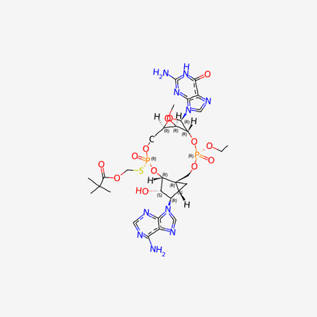 CCO[P@]1(=O)OC[C@@]23C[C@@H]2[C@@H](n2cnc4c(N)ncnc42)[C@H](O)[C@@H]3O[P@](=O)(SCOC(=O)C(C)(C)C)OC[C@H]2O[C@@H](n3cnc4c(=O)[nH]c(N)nc43)[C@H](O1)[C@@H]2OC